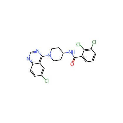 O=C(NC1CCN(c2ncnc3ccc(Cl)cc23)CC1)c1cccc(Cl)c1Cl